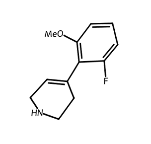 COc1cccc(F)c1C1=CCNCC1